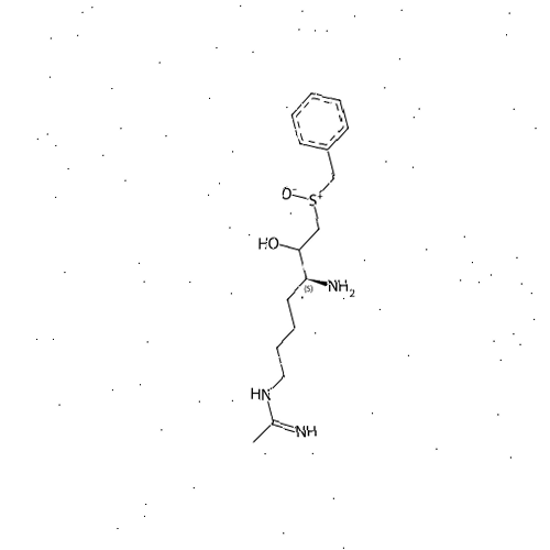 CC(=N)NCCCC[C@H](N)C(O)C[S+]([O-])Cc1ccccc1